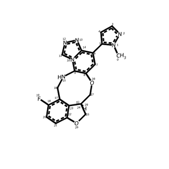 Cn1nccc1-c1cc2c(n3cnnc13)NCc1c(F)ccc3c1[C@@H](CO3)CO2